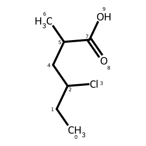 CCC(Cl)CC(C)C(=O)O